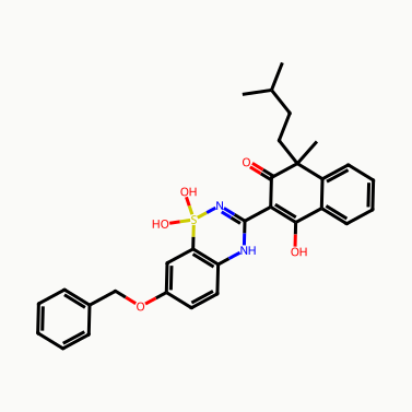 CC(C)CCC1(C)C(=O)C(C2=NS(O)(O)c3cc(OCc4ccccc4)ccc3N2)=C(O)c2ccccc21